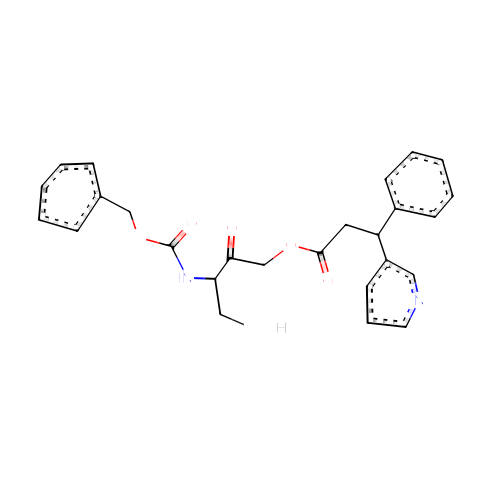 O=C(O)CC(NC(=O)OCc1ccccc1)C(=O)COC(=O)CC(c1ccccc1)c1cccnc1